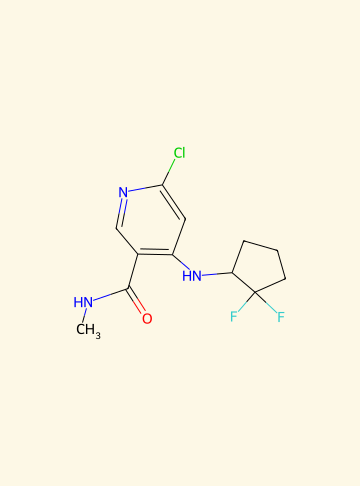 CNC(=O)c1cnc(Cl)cc1NC1CCCC1(F)F